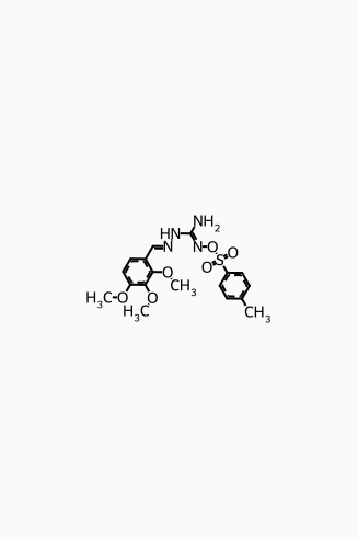 COc1ccc(C=NNC(N)=NOS(=O)(=O)c2ccc(C)cc2)c(OC)c1OC